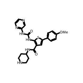 COc1ccc(-c2cc(C(=O)NC3CCNCC3)c(NC(=O)Nc3cnccn3)s2)cc1